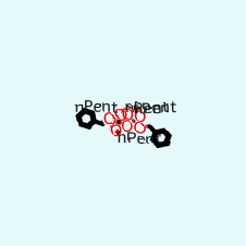 CCCCCOC(OCCCCC)(OCc1ccccc1)OC(OCCCCC)(OCCCCC)OCc1ccccc1